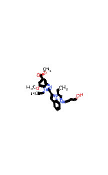 C#CCn1c(-c2cc3cccc4c3n2C(CC)CN4CCCO)nc2cc(C(=O)OC)cc(OC)c21